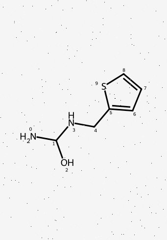 NC(O)NCc1cccs1